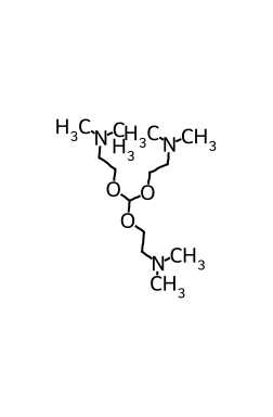 CN(C)CCOC(OCCN(C)C)OCCN(C)C